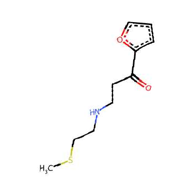 CSCCNCCC(=O)c1ccco1